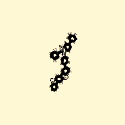 c1ccc(-c2ccc3c(c2)nc(-c2ccccc2)n3-c2ccc(-c3ccc4oc5cc6c(cc5c4c3)oc3ccccc36)cc2)cc1